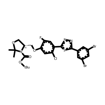 CC(C)(C)OC(=O)N1[C@@H](COc2cc(Cl)c(-c3nnc(-c4cc(Br)cc(Br)c4)s3)cc2F)COC1(C)C